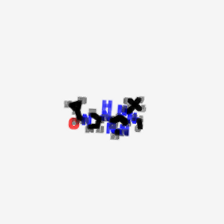 CCn1c(C(C)(C)C)nc2c(NC3CCN(C(=O)C4CC4)C3)ncnc21